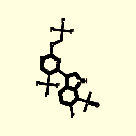 CP(C)(=O)c1c(F)ccc2c(-c3nc(OCC(F)(F)F)ncc3C(F)(F)F)c[nH]c12